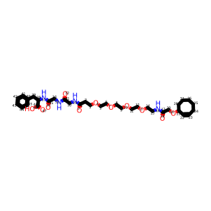 O=C(CCOCCOCCOCCOCCNC(=O)COC1C#CCCCCC1)NCC(=O)NCC(=O)NC(Cc1ccccc1)C(=O)O